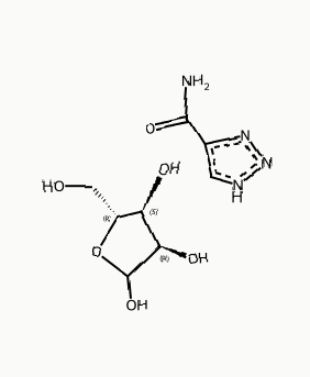 NC(=O)c1c[nH]nn1.OC[C@H]1OC(O)[C@H](O)[C@@H]1O